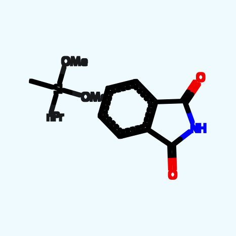 CCC[Si](C)(OC)OC.O=C1NC(=O)c2ccccc21